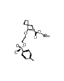 Cc1ccc(S(=O)(=O)OCCOC2N(C(=O)OC(C)(C)C)CC23CCC3)cc1